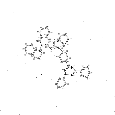 c1ccc(-c2nc(-c3ccccc3)nc(-c3ccc(-n4c5ccccc5c5c6c(sc54)c(-c4cccc5ccccc45)nc4ccccc46)cc3)n2)cc1